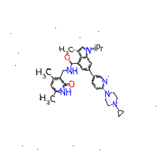 Cc1cc(C)c(CNC(=O)c2cc(-c3ccc(N4CCN(C5CC5)CC4)nc3)cc3c2c(C)cn3C(C)C)c(=O)[nH]1